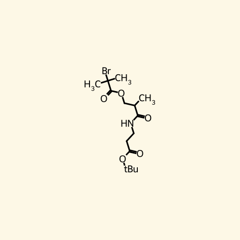 CC(COC(=O)C(C)(C)Br)C(=O)NCCC(=O)OC(C)(C)C